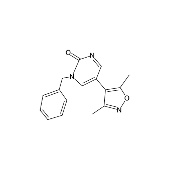 Cc1noc(C)c1-c1cnc(=O)n(Cc2ccccc2)c1